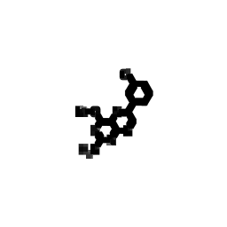 CCOc1nc(N)nc2ncc(-c3cccc(Cl)c3)nc12